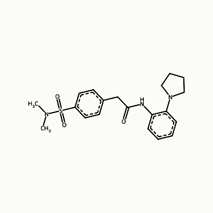 CN(C)S(=O)(=O)c1ccc(CC(=O)Nc2ccccc2N2CCCC2)cc1